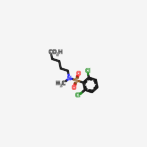 CN(CCCCC(=O)O)S(=O)(=O)c1c(Cl)cccc1Cl